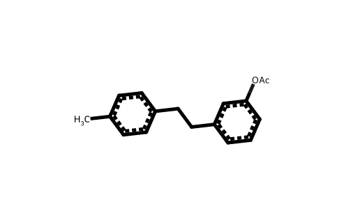 CC(=O)Oc1cccc(CCc2ccc(C)cc2)c1